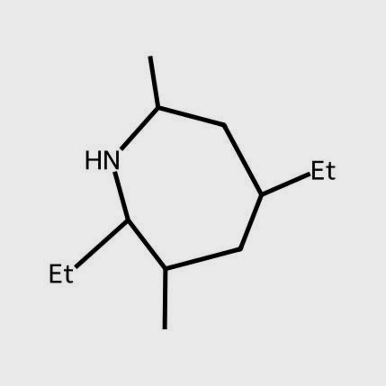 CCC1CC(C)NC(CC)C(C)C1